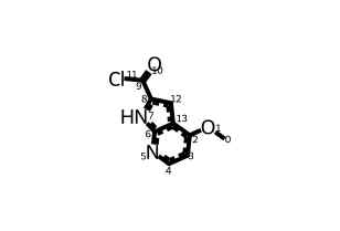 COc1ccnc2[nH]c(C(=O)Cl)cc12